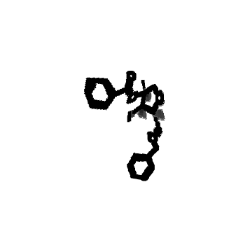 C[C@]1(OC(=O)c2ccccc2)CO[C@H](COCc2ccccc2)[C@H]1F